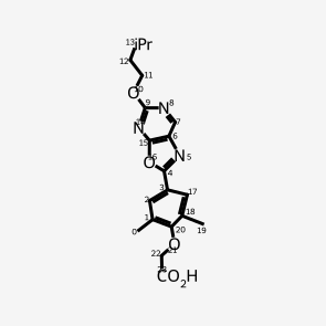 Cc1cc(-c2nc3cnc(OCCC(C)C)nc3o2)cc(C)c1OCC(=O)O